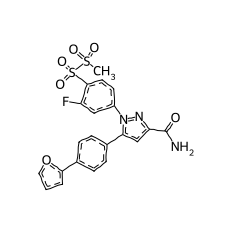 CS(=O)(=O)S(=O)(=O)c1ccc(-n2nc(C(N)=O)cc2-c2ccc(-c3ccco3)cc2)cc1F